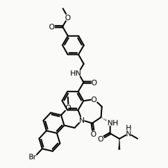 CN[C@@H](C)C(=O)N[C@H]1COc2c(C(=O)NCc3ccc(C(=O)OC)cc3)cccc2N(Cc2c(OC)ccc3cc(Br)ccc23)C1=O